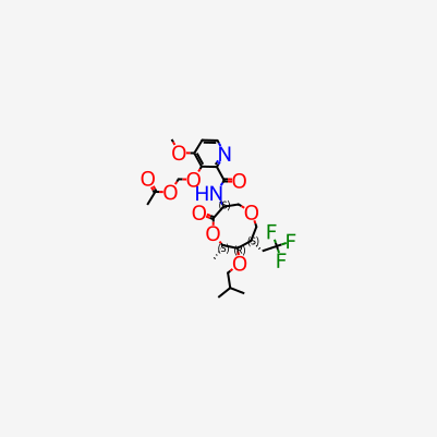 COc1ccnc(C(=O)N[C@H]2COC[C@H](CC(F)(F)F)[C@@H](OCC(C)C)[C@H](C)OC2=O)c1OCOC(C)=O